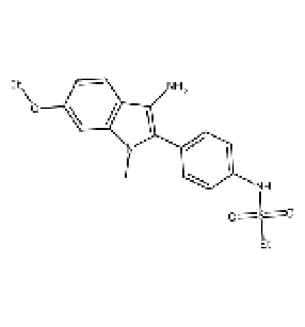 CCOc1ccc2c(N)c(-c3ccc(NS(=O)(=O)CC)cc3)n(C)c2c1